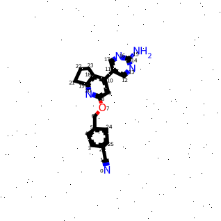 N#Cc1ccc(COc2cc(-c3cnc(N)nc3)c3c(n2)CCC3)cc1